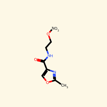 Cc1nc(C(=O)NCCO[N+](=O)[O-])co1